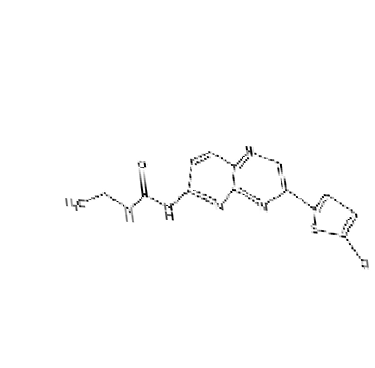 CCNC(=O)Nc1ccc2ncc(-c3ccc(Cl)s3)nc2n1